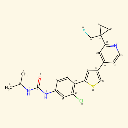 CC(C)NC(=O)Nc1ccc(-c2cc(-c3ccnc(C4(CF)CC4)c3)cs2)c(Cl)c1